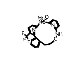 O=S1(=O)Nc2ccc(C(F)(F)F)c(n2)-c2ccccc2CCCCNc2cccc1n2